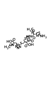 CON=C(Cn1nnnc1SCC1=C(C(=O)O)N2C(=O)C(NC(=O)C(=NOC)c3csc(N)n3)[C@@H]2SC1)C(=O)O